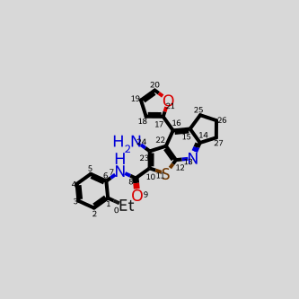 CCc1ccccc1NC(=O)c1sc2nc3c(c(-c4ccco4)c2c1N)CCC3